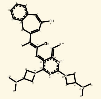 C\C(C1=CC(O)=Cc2ccccc2C1)=C(Cl)/C=c1/c(N2CC(N(C)C)C2)nc(N2CC(N(C)C)C2)n/c1=C\F